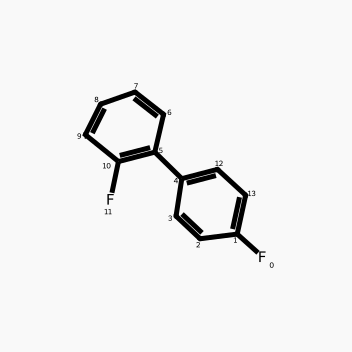 Fc1ccc(-c2ccc[c]c2F)cc1